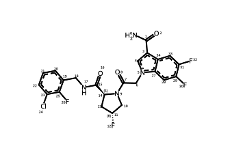 NC(=O)c1cn(CC(=O)N2C[C@H](F)C[C@H]2C(=O)NCc2cccc(Cl)c2F)c2cc(F)c(F)cc12